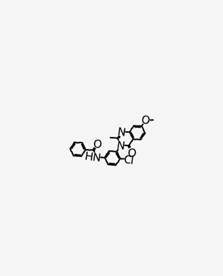 COc1ccc2c(=O)n(-c3cc(NC(=O)c4ccccc4)ccc3Cl)c(C)nc2c1